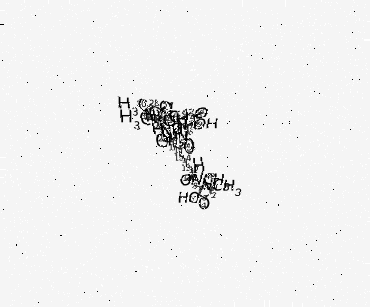 Cc1cc(=O)c(O)c(CNC(=O)CCCCC(CCC(=O)NCc2c(O)c(=O)cc(C)n2C)C(=O)NCc2c(O)c(=O)cc(C)n2C)n1C